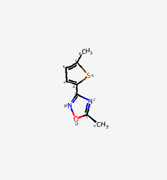 Cc1nc(-c2ccc(C)s2)no1